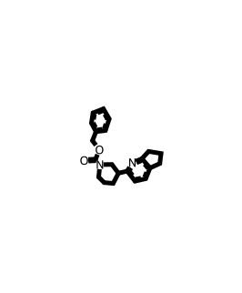 O=C(OCc1ccccc1)N1CCCC(c2ccc3c(n2)CCC3)C1